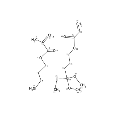 C=C(C)C(=O)OCCC[SiH3].C=CC(=O)OCCC[Si](OC)(OC)OC